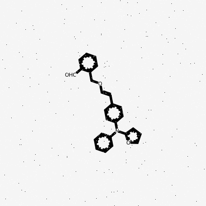 O=Cc1ccccc1COC=Cc1ccc(N(c2ccccc2)c2ccco2)cc1